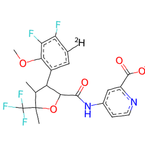 [2H]c1cc(C2C(C(=O)Nc3ccnc(C(=O)OC)c3)OC(C)(C(F)(F)F)C2C)c(OC)c(F)c1F